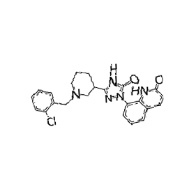 O=c1ccc2cccc(-n3nc(C4CCCN(Cc5ccccc5Cl)C4)[nH]c3=O)c2[nH]1